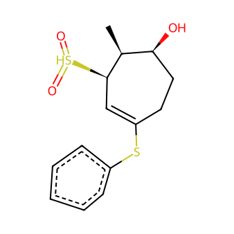 C[C@@H]1[C@H]([SH](=O)=O)C=C(Sc2ccccc2)CC[C@@H]1O